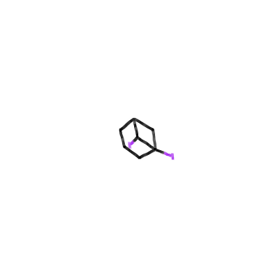 IC1C2CCCC1(I)C2